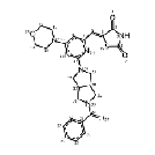 O=C1NC(=O)C(=Cc2cc(N3CCOCC3)nc(N3CC4CN(C(=O)c5ccccc5)CC4C3)n2)S1